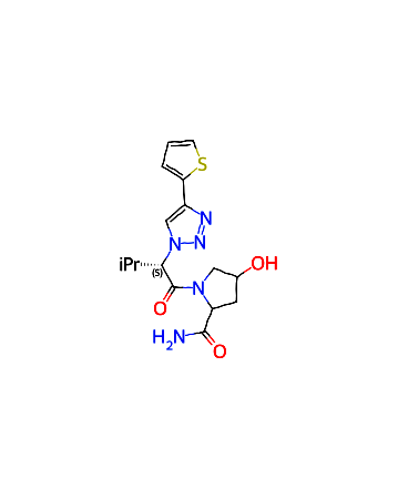 CC(C)[C@@H](C(=O)N1CC(O)CC1C(N)=O)n1cc(-c2cccs2)nn1